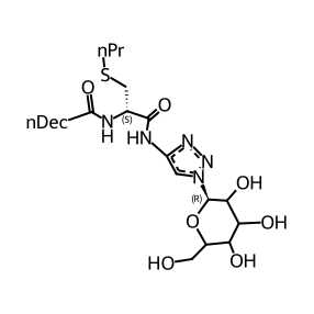 [CH2][CH]CSC[C@@H](NC(=O)CCCCCCCCCC)C(=O)Nc1cn([C@@H]2OC(CO)C(O)C(O)C2O)nn1